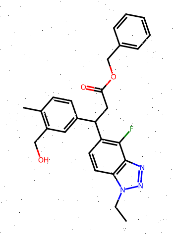 CCn1nnc2c(F)c(C(CC(=O)OCc3ccccc3)c3ccc(C)c(CO)c3)ccc21